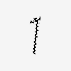 CCCCCCCCCCCCCCCCCCCc1n(CC)cc[n+]1CCC